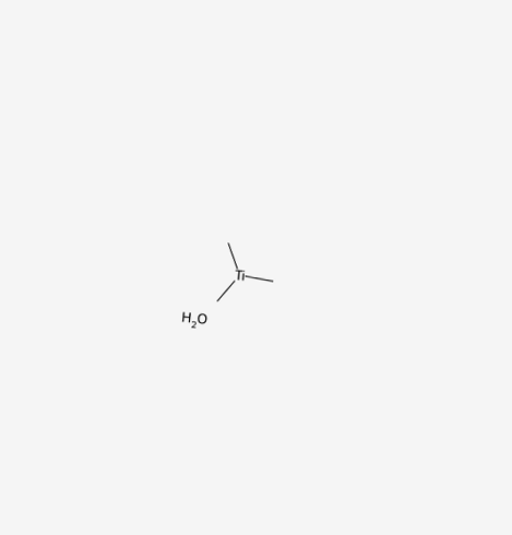 O.[CH3][Ti]([CH3])[CH3]